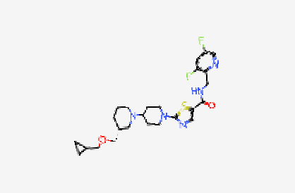 O=C(NCc1ncc(F)cc1F)c1cnc(N2CCC(N3CCC[C@@H](COCC4CC4)C3)CC2)s1